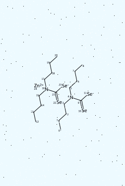 CCCCN(CCCC)C(=[Se])[Se-].CCCCN(CCCC)C(=[Se])[Se-].[Zn+2]